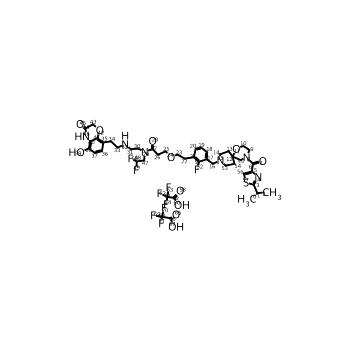 CC(C)c1nc(C(=O)N2CCOC3(CCN(Cc4cccc(CCOCCC(=O)N(CCNCCc5ccc(O)c6c5OCC(=O)N6)CC(F)F)c4F)CC3)C2)cs1.O=C(O)C(F)(F)F.O=C(O)C(F)(F)F